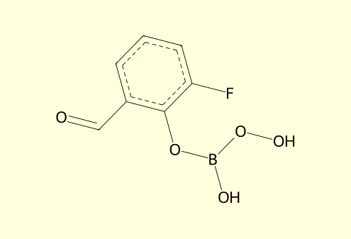 O=Cc1cccc(F)c1OB(O)OO